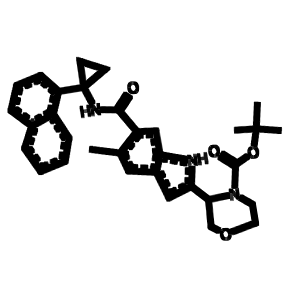 Cc1cc2cc(C3COCCN3C(=O)OC(C)(C)C)[nH]c2cc1C(=O)NC1(c2cccc3ccccc23)CC1